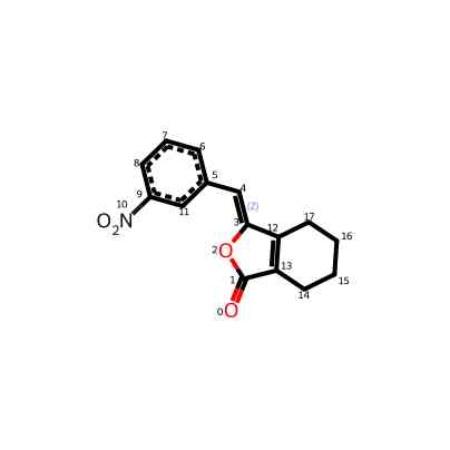 O=C1O/C(=C\c2cccc([N+](=O)[O-])c2)C2=C1CCCC2